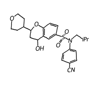 CC(C)CN(c1ccc(C#N)cc1)S(=O)(=O)c1ccc2c(c1)C(O)CC(C1CCOCC1)O2